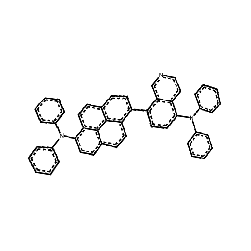 c1ccc(N(c2ccccc2)c2ccc(-c3ccc4ccc5c(N(c6ccccc6)c6ccccc6)ccc6ccc3c4c65)c3cnccc23)cc1